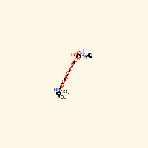 O=[N+]([O-])c1ccc(NCCOCCOCCOCCOCCOCCOCCOC[C@H]2OC[C@H](Nc3nc(-c4ccncc4)ns3)[C@@H](O)[C@H]2O)c([N+](=O)[O-])c1